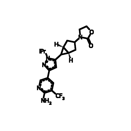 CC(C)n1nc(-c2cnc(N)c(C(F)(F)F)c2)cc1C1[C@H]2CC(N3CCOC3=O)C[C@@H]12